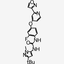 Cn1nc(C(C)(C)C)cc1NC(=O)Nc1ccc(Oc2ccnc(-c3ccon3)c2)cc1F